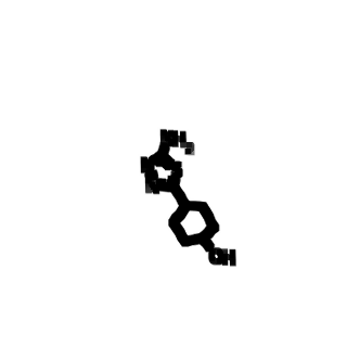 Nc1nnc(C2CCC(O)CC2)s1